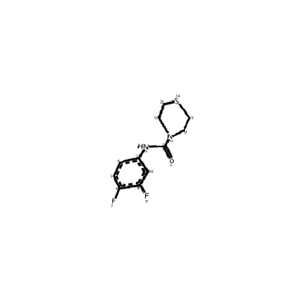 O=C(Nc1ccc(F)c(F)c1)N1CCSCC1